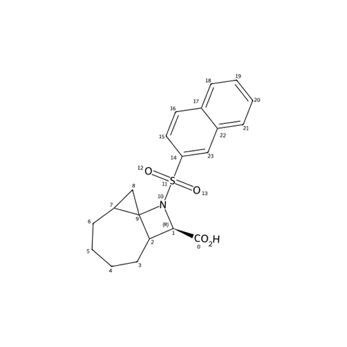 O=C(O)[C@H]1C2CCCCC3CC32N1S(=O)(=O)c1ccc2ccccc2c1